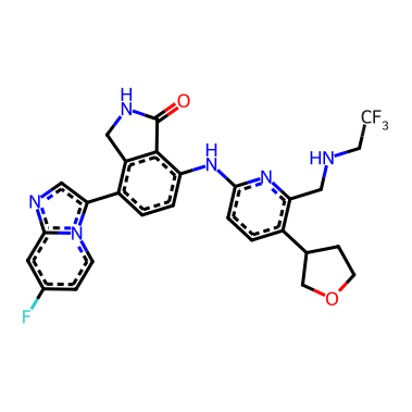 O=C1NCc2c(-c3cnc4cc(F)ccn34)ccc(Nc3ccc(C4CCOC4)c(CNCC(F)(F)F)n3)c21